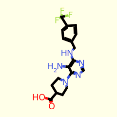 Nc1c(NCc2ccc(C(F)(F)F)cc2)ncnc1N1CCC(C(=O)O)CC1